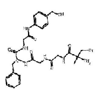 CC(C)CC(C)(P)C(=O)NCC(=O)NCC(=O)N[C@@H](Cc1ccccc1)C(=O)NCC(=O)Nc1ccc(CO)cc1